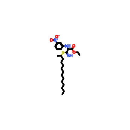 CCCCCCCCCCCCC(C)SC(=N)C(Nc1cccc([N+](=O)[O-])c1)C(=O)OCC